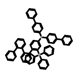 c1ccc(-c2ccc(N(c3ccc(-c4ccccc4)cc3)c3ccc(-c4ccccc4-c4ccccc4-c4ccccc4)c([Si](c4ccccc4)(c4ccccc4)c4ccccc4)c3)cc2)cc1